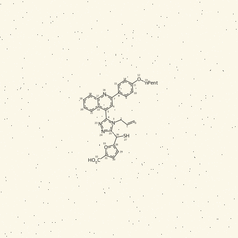 C=CCn1c(-c2cc(-c3ccc(OCCCCC)cc3)nc3ccccc23)nnc1C(S)c1ccc(C(=O)O)o1